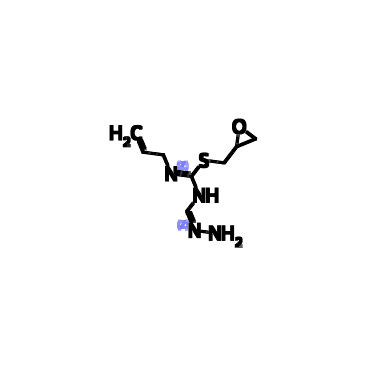 C=CC/N=C(/N/C=N\N)SCC1CO1